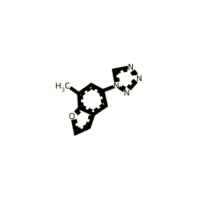 Cc1cc(-n2cnnn2)cc2ccoc12